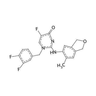 Cc1cc2c(cc1Nc1nc(=O)c(F)cn1Cc1ccc(F)c(F)c1)COC2